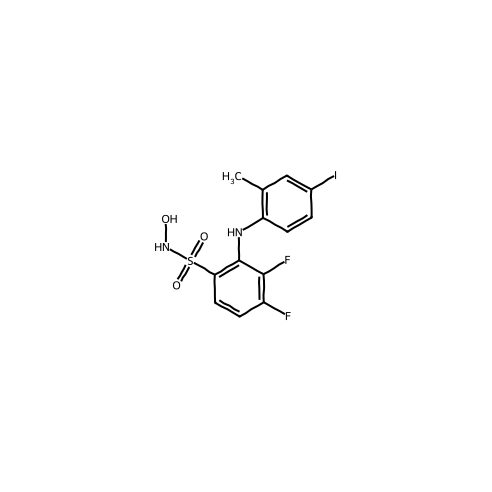 Cc1cc(I)ccc1Nc1c(S(=O)(=O)NO)ccc(F)c1F